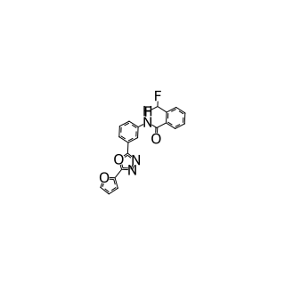 O=C(Nc1cccc(-c2nnc(-c3ccco3)o2)c1)c1ccccc1C(F)F